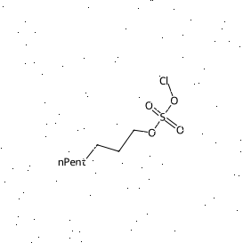 CCCCCCCCOS(=O)(=O)OCl